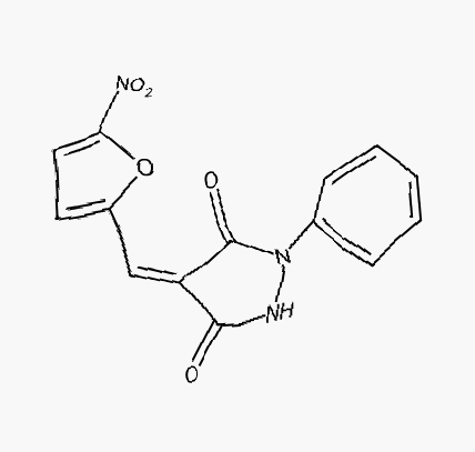 O=C1NN(c2ccccc2)C(=O)/C1=C\c1ccc([N+](=O)[O-])o1